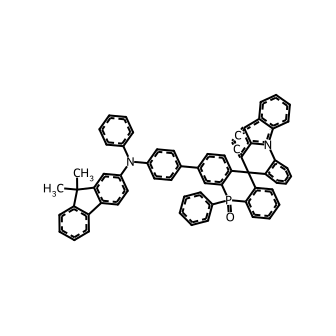 CC1(C)c2ccccc2-c2ccc(N(c3ccccc3)c3ccc(-c4ccc5c(c4)P(=O)(c4ccccc4)c4ccccc4C54c5ccccc5-n5c6ccccc6c6cccc4c65)cc3)cc21